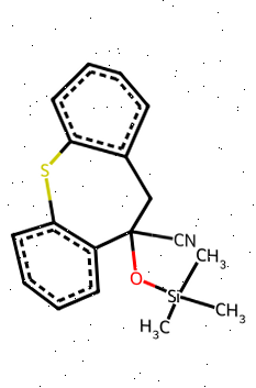 C[Si](C)(C)OC1(C#N)Cc2ccccc2Sc2ccccc21